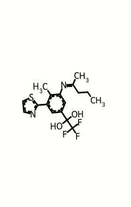 CCC/C(C)=N\c1cc(C(O)(O)C(F)(F)F)cc(-c2nccs2)c1C